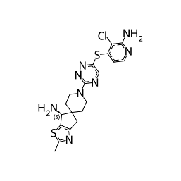 Cc1nc2c(s1)[C@@H](N)C1(CCN(c3ncc(Sc4ccnc(N)c4Cl)nn3)CC1)C2